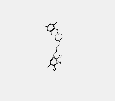 Cc1cc(C)c(CN2CCN(CCCCn3cc(C)c(=O)[nH]c3=O)CC2)c(C)c1